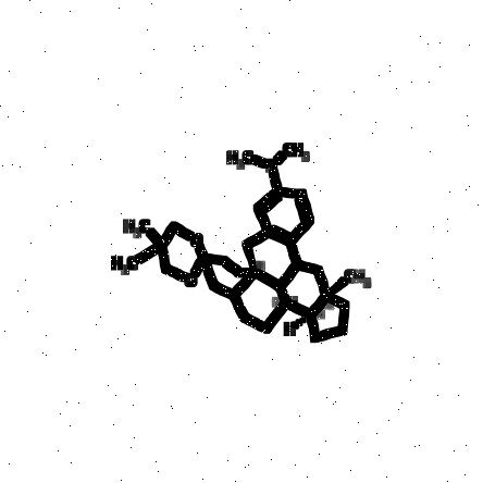 CN(C)c1ccc2c(c1)C[C@]13CCC4(CC1CC[C@@H]1C3C2C[C@]2(C)CCC[C@@H]12)OCC(C)(C)CO4